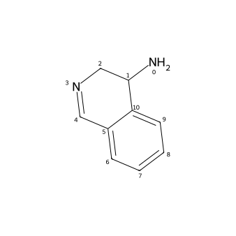 NC1CN=Cc2ccccc21